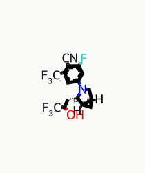 N#Cc1c(F)cc(N2C[C@@H]3C[C@@H]3[C@@H]2CC(O)C(F)(F)F)cc1C(F)(F)F